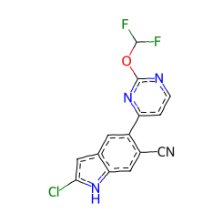 N#Cc1cc2[nH]c(Cl)cc2cc1-c1ccnc(OC(F)F)n1